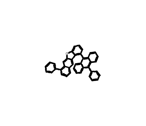 c1ccc(-c2cccc3cc4c(cc23)oc2cccc(-c3c5ccccc5c(-c5ccccc5)c5ccccc35)c24)cc1